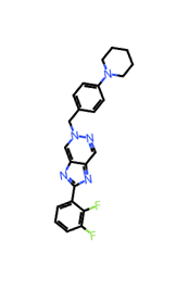 Fc1cccc(-c2nc3cnn(Cc4ccc(N5CCCCC5)cc4)cc-3n2)c1F